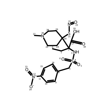 CCC(NS(=O)(=O)Cc1ccc([N+](=O)[O-])cc1)(C(=O)O)C1(SN=O)CCN(C)CC1